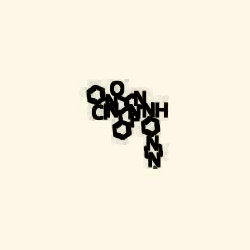 CN1CCN(c2ccc(Nc3ncc4c(=O)n(-c5ccccc5Cl)nc(-c5ccccc5F)c4n3)cc2)CC1